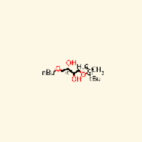 CCCCOC[C@H](O)C(O)CO[Si](C)(C)C(C)(C)C